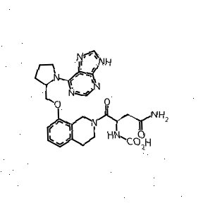 NC(=O)C[C@@H](NC(=O)O)C(=O)N1CCc2cccc(OCC3CCCN3c3ncnc4[nH]cnc34)c2C1